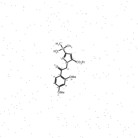 CCOC(=O)c1cc([Si](C)(C)C)nn1CC(=O)c1ccc(OC)cc1OC